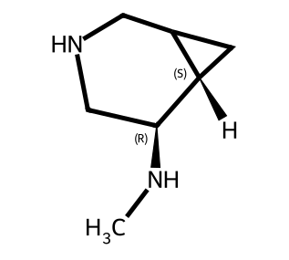 CN[C@H]1CNCC2C[C@@H]21